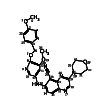 COc1ccc(COc2ncc(Nc3ccc4ncc(N5CCOCC5)nc4c3C#N)cc2OC)cc1